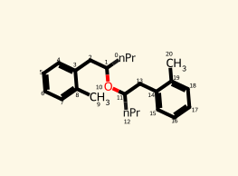 CCCC(Cc1ccccc1C)OC(CCC)Cc1ccccc1C